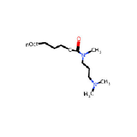 CCCCCCCCCCCCC(=O)N(C)CCCN(C)C